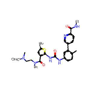 CCNC(=O)c1ccc(-c2cc(NC(=O)Nc3sc(C(C)(C)C)cc3C(=O)N(CCN(C)C=O)C(C)C)ccc2C)cn1